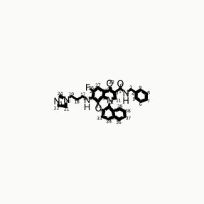 O=C(NCc1ccccc1)c1cn2c3c(c(NCCCn4ccnc4)c(F)cc3c1=O)Oc1ccc3ccccc3c1-2